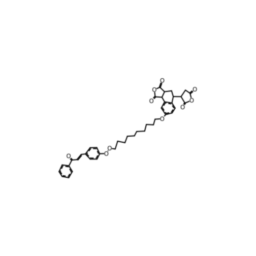 O=C1CC(C2CC3C(=O)OC(=O)C3c3cc(OCCCCCCCCCCOOc4ccc(/C=C/C(=O)c5ccccc5)cc4)ccc32)C(=O)O1